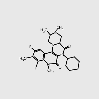 Cc1c(F)cc2c3c(c(=O)n(C)c2c1F)N(C1CCCCC1)C(=O)C1CN(C)C(C)CN31